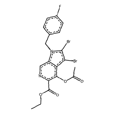 CCOC(=O)c1ncc2c(c(Br)c(Br)n2Cc2ccc(F)cc2)c1OC(C)=O